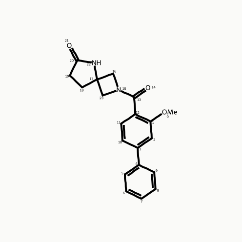 COc1cc(-c2ccccc2)ccc1C(=O)N1CC2(CCC(=O)N2)C1